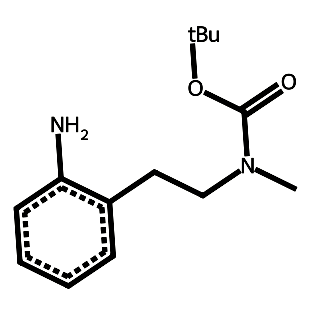 CN(CCc1ccccc1N)C(=O)OC(C)(C)C